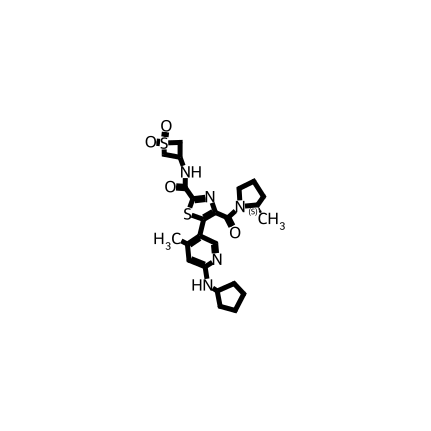 Cc1cc(NC2CCCC2)ncc1-c1sc(C(=O)NC2CS(=O)(=O)C2)nc1C(=O)N1CCC[C@@H]1C